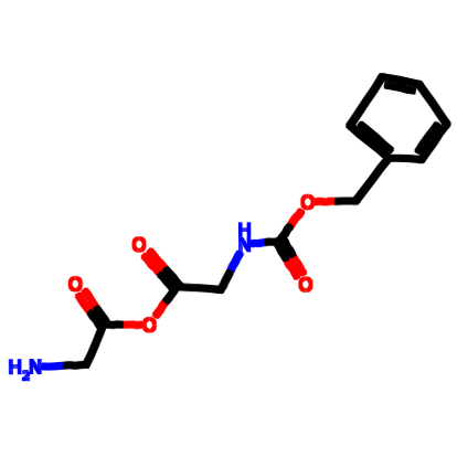 NCC(=O)OC(=O)CNC(=O)OCc1ccccc1